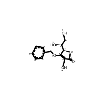 O=C1O[C@H]([C@@H](O)CO)C(OCc2ccccc2)=C1O